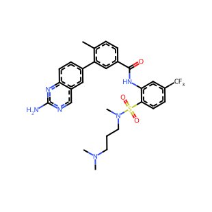 Cc1ccc(C(=O)Nc2cc(C(F)(F)F)ccc2S(=O)(=O)N(C)CCCN(C)C)cc1-c1ccc2nc(N)ncc2c1